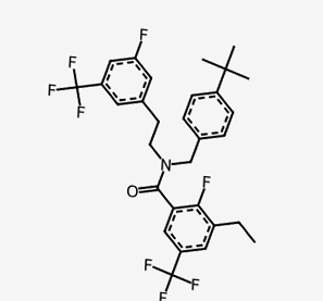 CCc1cc(C(F)(F)F)cc(C(=O)N(CCc2cc(F)cc(C(F)(F)F)c2)Cc2ccc(C(C)(C)C)cc2)c1F